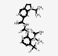 CC(C)N1CCc2cnc(C(=N)NC(=S)Nc3nccc(C(F)(F)F)c3N(C)C(=O)O)cc21